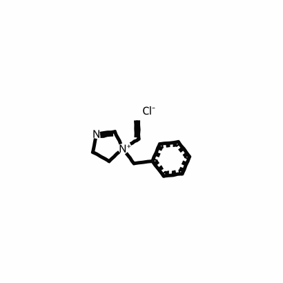 C=C[N+]1(Cc2ccccc2)C=NCC1.[Cl-]